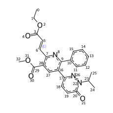 CCOC(=O)/C=C/c1nc(-c2ccccc2)c(-c2ccc(=O)n(C(C)C)n2)cc1C(=O)OC